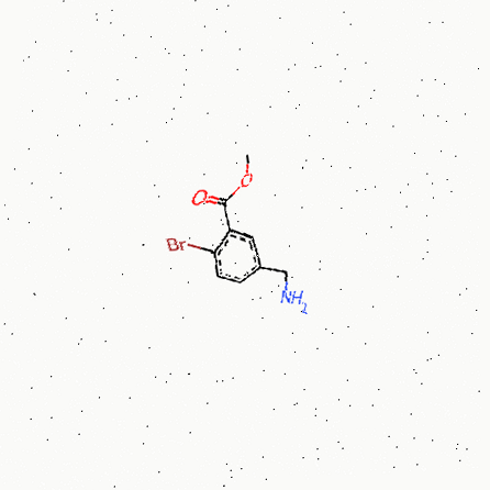 COC(=O)c1cc(CN)ccc1Br